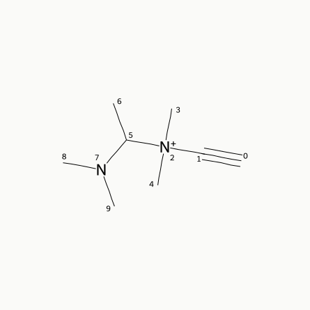 C#C[N+](C)(C)C(C)N(C)C